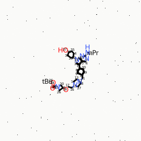 CCCNc1ncc2c(-c3ccc(CN4CCN(CCOC5CN(C(=O)OC(C)(C)C)C5)CC4)cc3)cn([C@H]3CC[C@H](O)CC3)c2n1